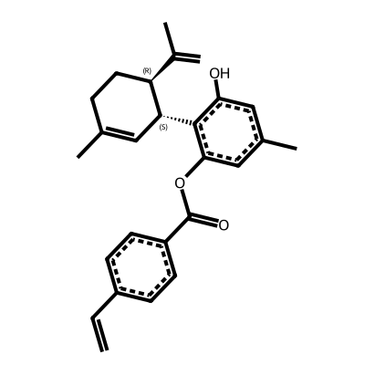 C=Cc1ccc(C(=O)Oc2cc(C)cc(O)c2[C@@H]2C=C(C)CC[C@H]2C(=C)C)cc1